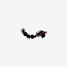 Cc1ccc(C(C)C)c(N2C(=NC(=O)NCCc3ccc(-c4ncn(-c5ccc(OC(F)(F)F)cc5)n4)cc3)SCC2(C)O)c1